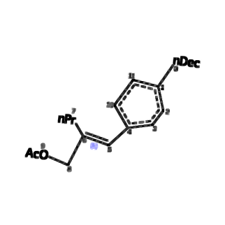 CCCCCCCCCCc1ccc(/C=C(\CCC)COC(C)=O)cc1